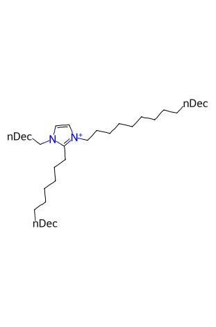 CCCCCCCCCCCCCCCCCCC[n+]1ccn(CCCCCCCCCCC)c1CCCCCCCCCCCCCCCC